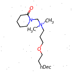 CCCCCCCCCCCCOCCC[N+](C)(C)CN1CCCCC1=O